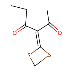 CCC(=O)C(C(C)=O)=C1SCS1